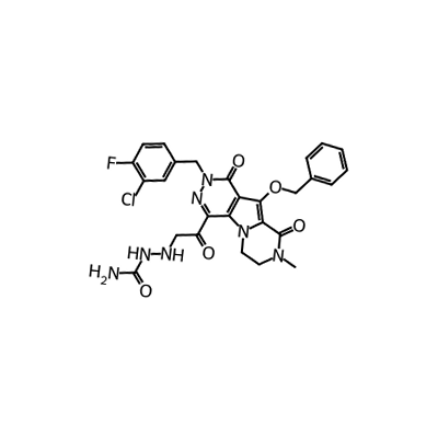 CN1CCn2c(c(OCc3ccccc3)c3c(=O)n(Cc4ccc(F)c(Cl)c4)nc(C(=O)CNNC(N)=O)c32)C1=O